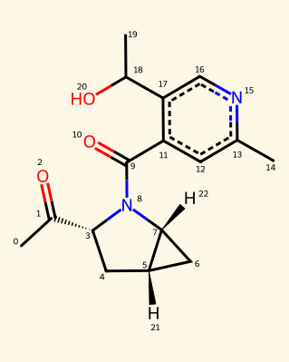 CC(=O)[C@H]1C[C@H]2C[C@H]2N1C(=O)c1cc(C)ncc1C(C)O